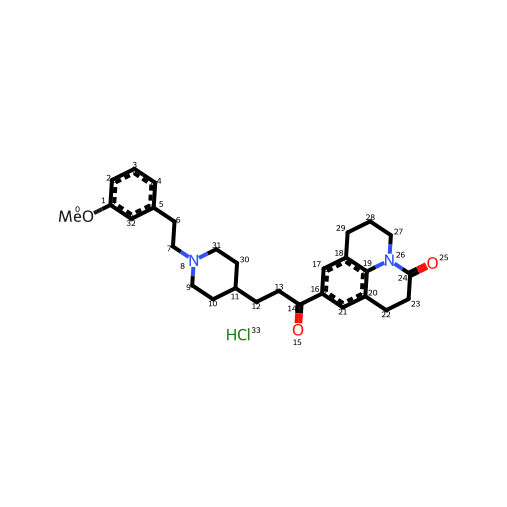 COc1cccc(CCN2CCC(CCC(=O)c3cc4c5c(c3)CCC(=O)N5CCC4)CC2)c1.Cl